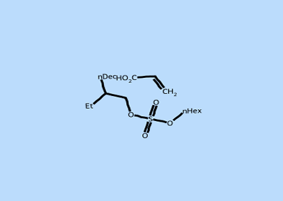 C=CC(=O)O.CCCCCCCCCCC(CC)COS(=O)(=O)OCCCCCC